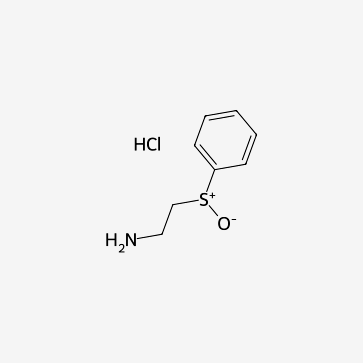 Cl.NCC[S+]([O-])c1ccccc1